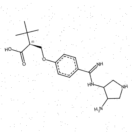 CC(C)(C)[C@@H](COc1ccc(C(=N)NC2CNCC2N)cc1)C(=O)O